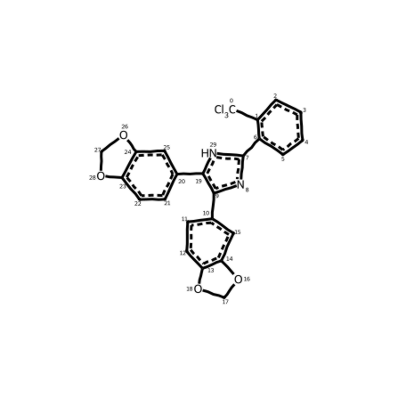 ClC(Cl)(Cl)c1ccccc1-c1nc(-c2ccc3c(c2)OCO3)c(-c2ccc3c(c2)OCO3)[nH]1